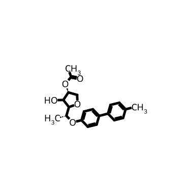 CC(=O)O[C@@H]1COC([C@@H](C)Oc2ccc(-c3ccc(C)cc3)cc2)C1O